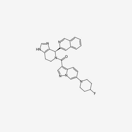 O=C(c1cnn2cc(N3CCC(F)CC3)ccc12)N1CCc2[nH]cnc2[C@H]1c1cc2ccccc2cn1